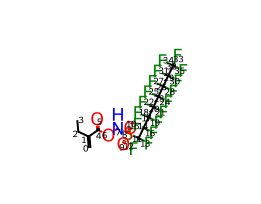 C=C(CC)C(=O)ONS(=O)(=O)C(F)(F)C(F)(F)C(F)(F)C(F)(F)C(F)(F)C(F)(F)C(F)(F)C(F)(F)F